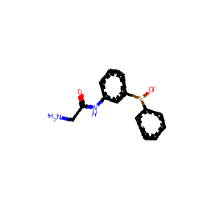 NCC(=O)Nc1cccc([S+]([O-])c2ccccc2)c1